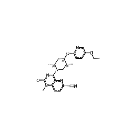 CCOc1ccc(O[C@@H]2C[C@@H](C)N(c3nc(=O)n(C)c4ccc(C#N)nc34)C[C@H]2C)nc1